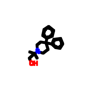 CC(C)(CO)N1CCC(c2ccccc2)(c2ccccc2)CC1